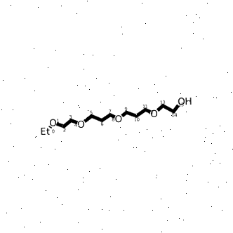 CCOCCOCCCOCCCOCCO